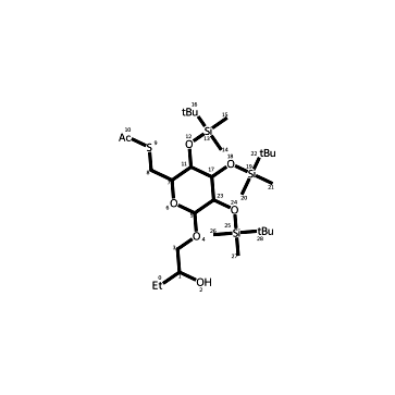 CCC(O)COC1OC(CSC(C)=O)C(O[Si](C)(C)C(C)(C)C)C(O[Si](C)(C)C(C)(C)C)C1O[Si](C)(C)C(C)(C)C